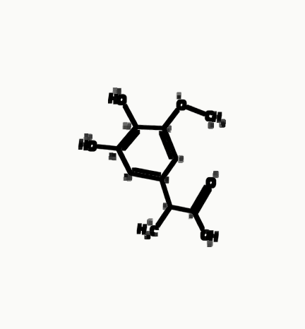 COc1cc(C(C)C(=O)O)cc(O)c1O